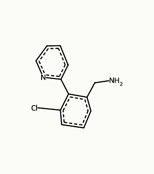 NCc1cccc(Cl)c1-c1ccccn1